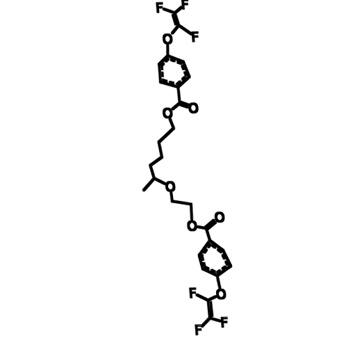 CC(CCCCOC(=O)c1ccc(OC(F)=C(F)F)cc1)OCCOC(=O)c1ccc(OC(F)=C(F)F)cc1